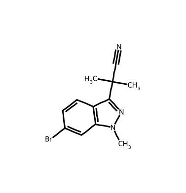 Cn1nc(C(C)(C)C#N)c2ccc(Br)cc21